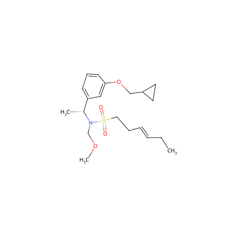 CC/C=C/CCS(=O)(=O)N(COC)[C@H](C)c1cccc(OCC2CC2)c1